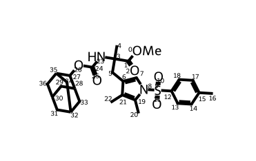 COC(=O)C(C)(Cc1cn(S(=O)(=O)c2ccc(C)cc2)c(C)c1C)NC(=O)OC1C2CC3CC(C2)CC1C3